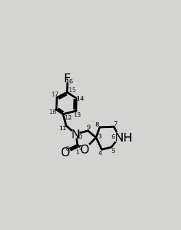 O=C1OC2(CCNCC2)CN1Cc1ccc(F)cc1